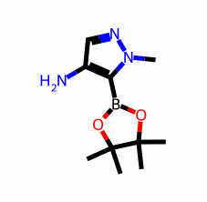 Cn1ncc(N)c1B1OC(C)(C)C(C)(C)O1